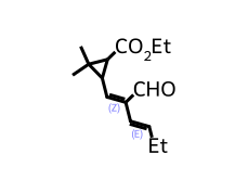 CC/C=C/C(C=O)=C/C1C(C(=O)OCC)C1(C)C